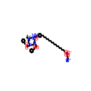 CC(=O)CN1CCN(CC(=O)Nc2ccc(CCCCCCCCCCCCCCCCCCOP(=O)([O-])OCC[N+](C)(C)C)cc2)CCN(CC(=O)OCc2ccccc2)CCN(CC(=O)OCc2ccccc2)CC1